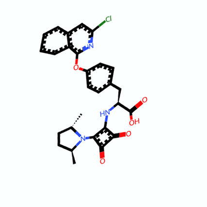 C[C@H]1CC[C@H](C)N1c1c(N[C@@H](Cc2ccc(Oc3nc(Cl)cc4ccccc34)cc2)C(=O)O)c(=O)c1=O